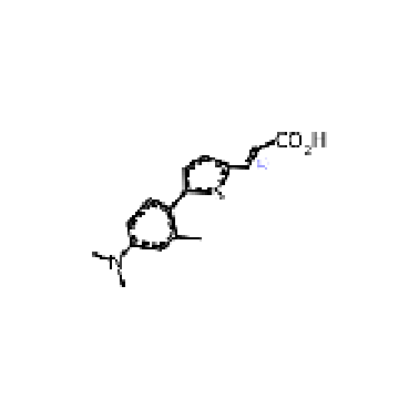 Cc1cc(N(C)C)ccc1-c1ccc(/C=C/C(=O)O)s1